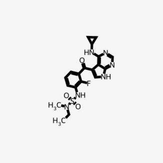 CCN(C)S(=O)(=O)Nc1cccc(C(=O)c2c[nH]c3ncnc(NC4CC4)c23)c1F